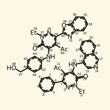 CCn1nc(-c2ccccc2)c(C(C)=O)c(Nc2cncc3ccccc23)c1=O.CCn1nc(-c2nc3ccccc3o2)c(C(C)=O)c(Nc2ccc(CO)cc2)c1=O